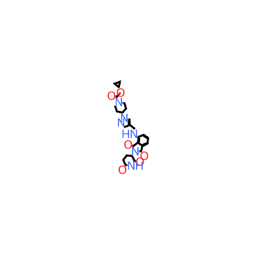 O=C1CCC(N2C(=O)c3cccc(NCc4cnn(C5CCN(C(=O)OC6CC6)CC5)c4)c3C2=O)C(=O)N1